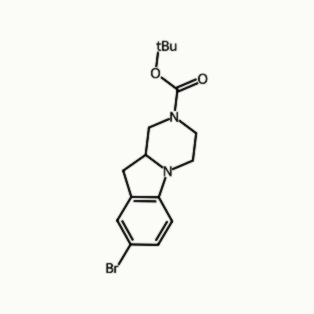 CC(C)(C)OC(=O)N1CCN2c3ccc(Br)cc3CC2C1